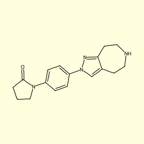 O=C1CCCN1c1ccc(-n2cc3c(n2)CCNCC3)cc1